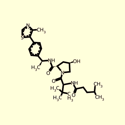 Cc1ncsc1-c1ccc([C@H](C)NC(=O)[C@@H]2C[C@@H](O)CN2C(=O)C(NC(=O)CCC(C)C)C(C)(C)C)cc1